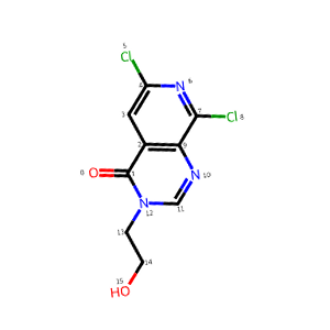 O=c1c2cc(Cl)nc(Cl)c2ncn1CCO